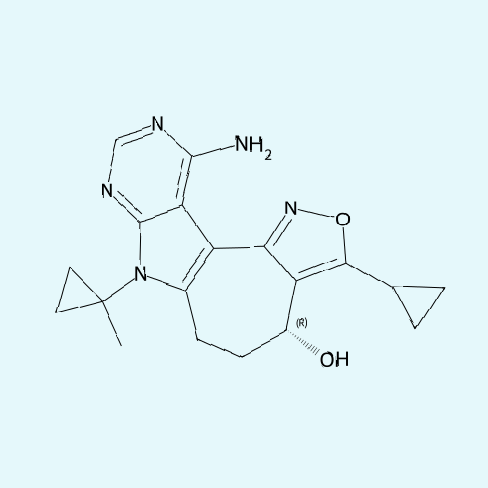 CC1(n2c3c(c4c(N)ncnc42)-c2noc(C4CC4)c2[C@H](O)CC3)CC1